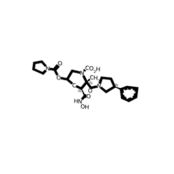 C[C@@]1(C(=O)N2CC[C@@H](c3ccccc3)C2)[C@@H](C(=O)NO)CC(OC(=O)N2CCCC2)CN1C(=O)O